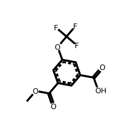 COC(=O)c1cc(OC(F)(F)F)cc(C(=O)O)c1